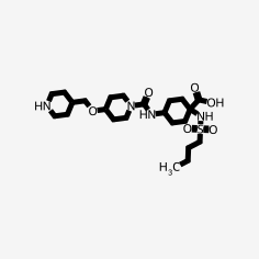 CCCCS(=O)(=O)NC1(C(=O)O)CCC(NC(=O)N2CCC(OCC3CCNCC3)CC2)CC1